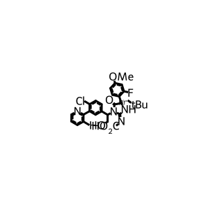 COc1ccc([C@@]2(CC(C)(C)C)NC(=NC(=O)O)N(C(CO)c3ccc(Cl)c(-c4ncccc4C)c3)C2=O)c(F)c1